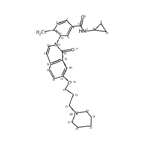 Cc1ccc(C(=O)NC2CC2)cc1-n1ccc2ccc(OCCCN3CCCCC3)cc2c1=O